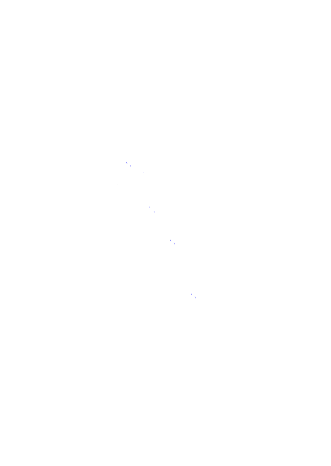 CC(N)C/N=N/CC(C)N.Cl